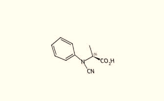 C[C@@H](C(=O)O)N(C#N)c1ccccc1